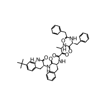 CC(NC(=O)[C@H](Cc1ccccc1)NC(=O)Cc1ccccc1)C(=O)C(=O)N[C@@H](Cc1ccccc1)C(=O)N[C@@H](Cc1ccc(C(C)(C)C)cc1)C(N)=O